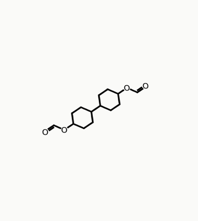 O=COC1CCC(C2CCC(OC=O)CC2)CC1